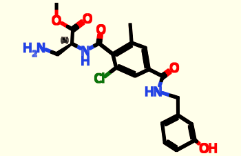 COC(=O)[C@H](CN)NC(=O)c1c(C)cc(C(=O)NCc2cccc(O)c2)cc1Cl